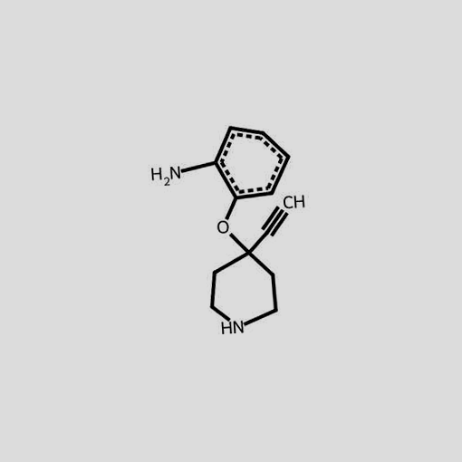 C#CC1(Oc2ccccc2N)CCNCC1